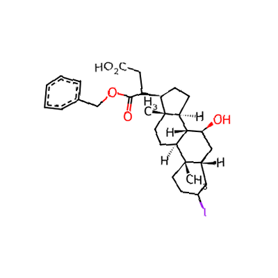 C[C@]12CCC(I)C[C@H]1C[C@H](O)[C@@H]1[C@@H]2CC[C@]2(C)[C@@H](C(CC(=O)O)C(=O)OCc3ccccc3)CC[C@@H]12